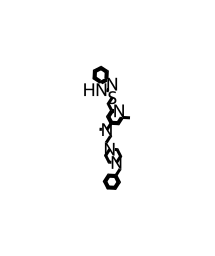 Cc1cc(N(C)CCN2CCN(Cc3ccccc3)CC2)cc(CSc2nc3ccccc3[nH]2)n1